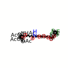 CC(=O)N[C@H]1[C@H](OCCCCC(=O)NCCOCCOCCOCC(=O)C(C)(C)Oc2c(F)c(F)cc(F)c2F)O[C@H](COC(C)=O)[C@H](OC(C)=O)[C@@H]1OC(C)=O